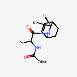 CC[C@@H]1C2C=CC(CC2)N1C(=O)[C@@H](NC(=O)OC)C(C)C